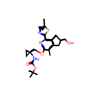 Cc1cnc(-c2nc(OCC3(NC(=O)OC(C)(C)C)CC3)c(C)c3c2CC(CO)C3)s1